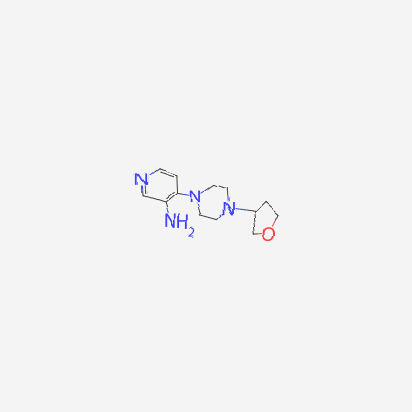 Nc1cnccc1N1CCN(C2CCOC2)CC1